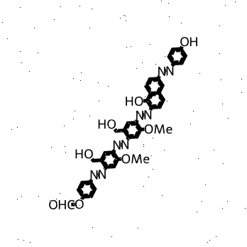 COc1cc(N=Nc2ccc(OC=O)cc2)c(CO)cc1N=Nc1cc(OC)c(N=Nc2ccc3cc(N=Nc4ccc(O)cc4)ccc3c2O)cc1CO